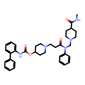 CNC(=O)C1CCN(CN(C(=O)CCN2CCC(OC(=O)Nc3ccccc3-c3ccccc3)CC2)c2ccccc2)CC1